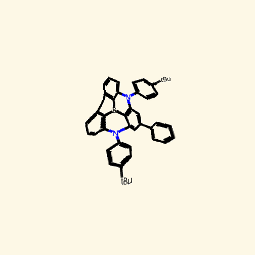 CC(C)(C)c1ccc(N2c3cccc4c3B3c5c-4cccc5N(c4ccc(C(C)(C)C)cc4)c4cc(-c5ccccc5)cc2c43)cc1